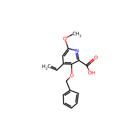 C=Cc1cc(OC)nc(C(=O)O)c1OCc1ccccc1